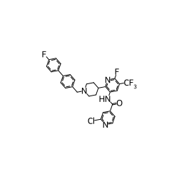 O=C(Nc1cc(C(F)(F)F)c(F)nc1C1CCN(Cc2ccc(-c3ccc(F)cc3)cc2)CC1)c1ccnc(Cl)c1